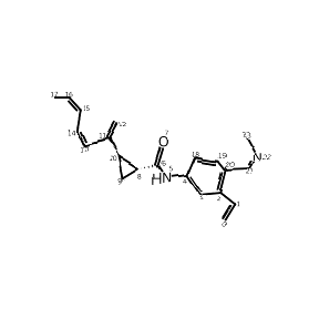 C=Cc1cc(NC(=O)[C@@H]2C[C@H]2C(=C)/C=C\C=C/C)ccc1/C=N\C